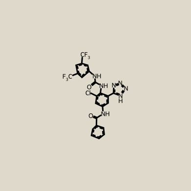 O=C(Nc1cc(C(F)(F)F)cc(C(F)(F)F)c1)Nc1c(Cl)cc(NC(=O)c2ccccc2)cc1-c1nnn[nH]1